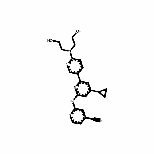 N#Cc1ccnc(Nc2cc(C3CC3)cc(-c3ccc(N(CCO)CCO)nc3)n2)c1